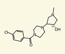 CN1CC(N2CCN(C(=O)c3ccc(Cl)cc3)CC2)[C@@H](O)C1